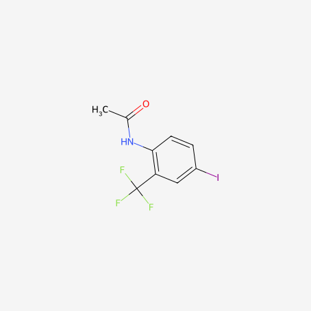 CC(=O)Nc1ccc(I)cc1C(F)(F)F